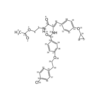 CC(=O)OCCNC(=O)/C(=C/c1ccc(OC2CC2)cc1)NC(=O)c1ccc(OCCc2ccc(Cl)cc2)cc1